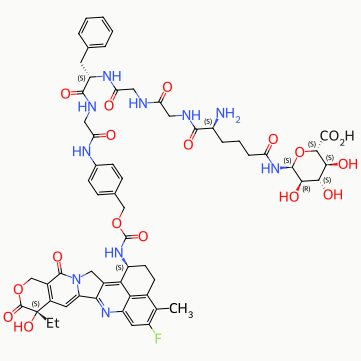 CC[C@@]1(O)C(=O)OCc2c1cc1n(c2=O)Cc2c-1nc1cc(F)c(C)c3c1c2[C@@H](NC(=O)OCc1ccc(NC(=O)CNC(=O)[C@H](Cc2ccccc2)NC(=O)CNC(=O)CNC(=O)[C@@H](N)CCCC(=O)N[C@H]2O[C@H](C(=O)O)[C@@H](O)[C@H](O)[C@H]2O)cc1)CC3